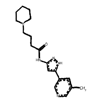 Cc1cncc(-c2cc(NC(=O)CCCN3CCCCC3)n[nH]2)c1